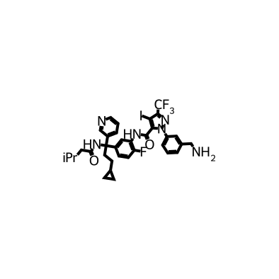 CC(C)CC(=O)NC(CCC1CC1)(c1cccnc1)c1ccc(F)c(NC(=O)c2c(I)c(C(F)(F)F)nn2-c2cccc(CN)c2)c1